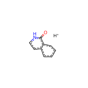 O=c1[nH]ccc2ccccc12.[H+]